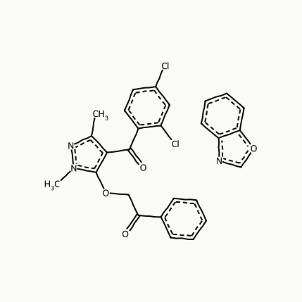 Cc1nn(C)c(OCC(=O)c2ccccc2)c1C(=O)c1ccc(Cl)cc1Cl.c1ccc2ocnc2c1